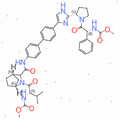 COC(=O)N[C@H](C(=O)N1C(C(=O)Nc2ccc(-c3ccc(-c4c[nH]c([C@@H]5CCCN5C(=O)[C@H](NC(=O)OC)c5ccccc5)n4)cc3)cc2)[C@H]2CC[C@@H]1C2)C(C)C